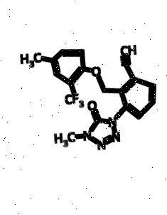 C#Cc1cccc(-n2nnn(C)c2=O)c1COc1ccc(C)cc1C(F)(F)F